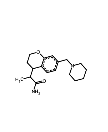 CC(C(N)=O)C1CCOc2cc(CN3CCCCC3)ccc21